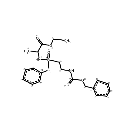 CCOC(=O)C(C)NP(=O)(CCNC(=O)OCc1ccccc1)Oc1ccccc1